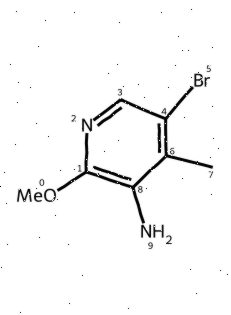 COc1ncc(Br)c(C)c1N